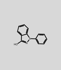 Oc1nn(-c2ccccc2)c2ccccc12